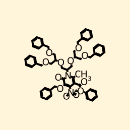 Cc1c(C(=O)Oc2ccccc2)c([N+](=O)[O-])c(OCc2ccccc2)c(=O)n1C(COC(COCc1ccccc1)COCc1ccccc1)COC(COCc1ccccc1)COCc1ccccc1